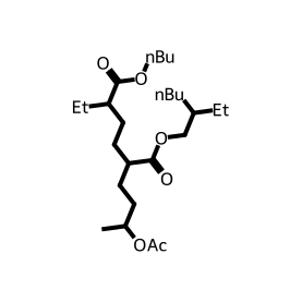 CCCCOC(=O)C(CC)CCC(CCC(C)OC(C)=O)C(=O)OCC(CC)CCCC